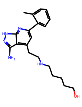 Cc1ccccc1-c1cc(CCNCCCCCO)c2c(N)n[nH]c2n1